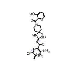 C=C(N)/C(Cl)=N\C(C(=O)/N=C1\NCC2(CCN(C(=O)c3ncccc3O)CC2)N1)=C(N)N